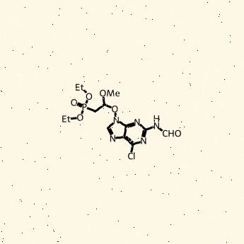 CCOP(=O)(CC(OC)On1cnc2c(Cl)nc(NC=O)nc21)OCC